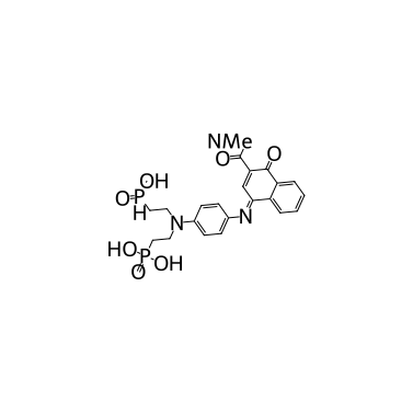 CNC(=O)C1=C/C(=N\c2ccc(N(CC[PH](=O)O)CCP(=O)(O)O)cc2)c2ccccc2C1=O